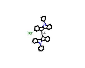 [Cl-].[Cl-].c1ccc(-n2c3c(c4ccccc42)[CH]([Zr+2][CH]2c4ccccc4-c4c2c2ccccc2n4-c2ccccc2)c2ccccc2-3)cc1